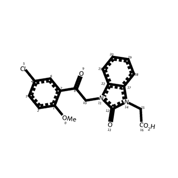 COc1ccc(Cl)cc1C(=O)Cn1c(=O)n(CC(=O)O)c2ccccc21